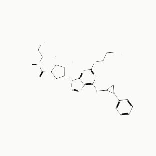 CCCSc1nc(NC2CC2c2ccccc2)c2nnn([C@H]3C[C@@H](C(=O)N(C)CCO)[C@H](O)[C@@H]3O)c2n1